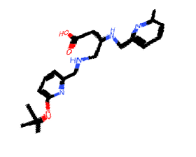 Cc1cccc(CNC(CNCc2cccc(OC(C)(C)C)n2)CC(=O)O)n1